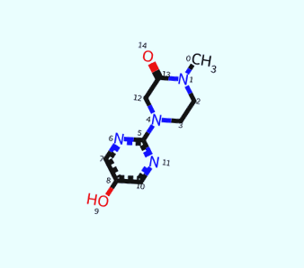 CN1CCN(c2ncc(O)cn2)CC1=O